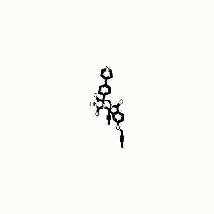 CC#CCOc1ccc2c(c1)CN(C[C@]1(c3ccc(-c4ccncc4)cc3)C(=O)NC(=O)N1CC#CC)C2=O